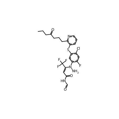 CCCC(=O)CCCc1ncccc1Sc1cc(N(N)/C(=C\C(=O)NC=O)C(F)(F)F)c(F)cc1Cl